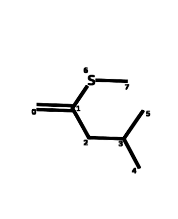 C=C(CC(C)C)SC